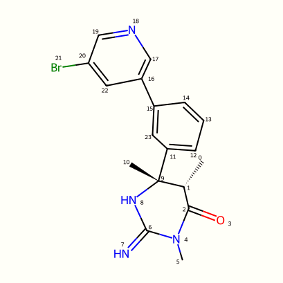 C[C@@H]1C(=O)N(C)C(=N)N[C@]1(C)c1cccc(-c2cncc(Br)c2)c1